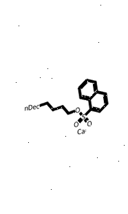 CCCCCCCCCCCCCCOS(=O)(=O)c1cccc2ccccc12.[Ca]